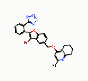 CCc1cc(OCc2ccc3oc(-c4ccccc4-c4nnn[nH]4)c(Br)c3c2)c2c(n1)CCCC2